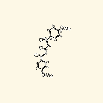 COc1ccc(C(Cl)=CC(=O)C=C(Cl)c2ccc(OC)cc2)cc1